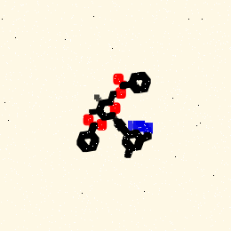 Cc1cc(C#C[C@H]2O[C@H](COC(=O)c3ccccc3)[C@@H](C)[C@H](C)[C@@H]2OC(=O)c2ccccc2)c2[nH]ncc2c1